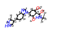 COc1cc(-n2cnc3cc(-c4c[nH]nc4C)ccc32)cc(OC)c1C(=O)NC(C)(C)C